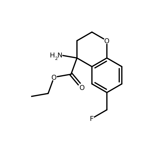 CCOC(=O)C1(N)CCOc2ccc(CF)cc21